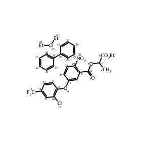 CCOC(=O)C(C)OC(=O)c1cc(Oc2ccc(C(F)(F)F)cc2Cl)ccc1[N+](=O)[O-].CCOCC.c1ccc(-c2ccccc2)cc1